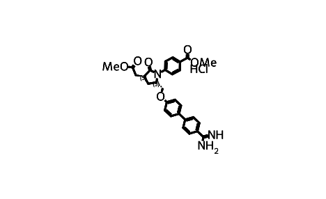 COC(=O)C[C@@H]1C[C@@H](COc2ccc(-c3ccc(C(=N)N)cc3)cc2)N(c2ccc(C(=O)OC)cc2)C1=O.Cl